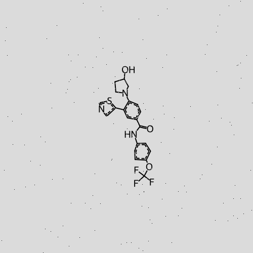 O=C(Nc1ccc(OC(F)(F)F)cc1)c1ccc(N2CCC(O)C2)c(-c2cncs2)c1